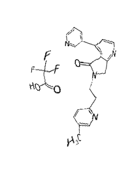 Cc1ccc(CCN2Cc3nccc(-c4cccnc4)c3C2=O)nc1.O=C(O)C(F)(F)F